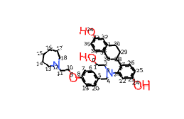 OCCN(Cc1ccc(OCCN2CCCCCC2)cc1)c1cc(O)ccc1C1CCc2cc(O)ccc2C1